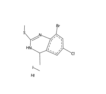 CI.CSC1=Nc2c(Br)cc(Cl)cc2C(C)N1.I